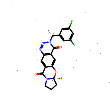 C[C@H](c1cc(F)cc(F)c1)n1nnc2cc3c(cc2c1=O)O[C@H]1CCCN1C3=O